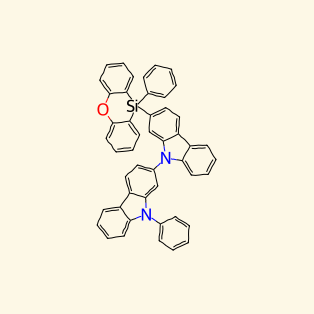 c1ccc(-n2c3ccccc3c3ccc(-n4c5ccccc5c5ccc([Si]6(c7ccccc7)c7ccccc7Oc7ccccc76)cc54)cc32)cc1